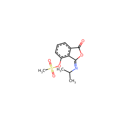 CC(C)/N=C1/OC(=O)c2cccc(OS(C)(=O)=O)c21